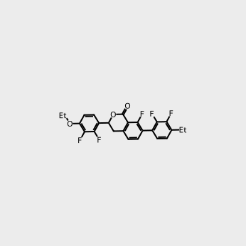 CCOc1ccc(C2Cc3ccc(-c4ccc(CC)c(F)c4F)c(F)c3C(=O)O2)c(F)c1F